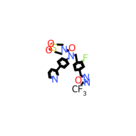 O=C(N1CCS(=O)(=O)CC1)N(Cc1ccc(-c2nnc(C(F)(F)F)o2)cc1F)c1ccc(-c2cccnc2)cc1